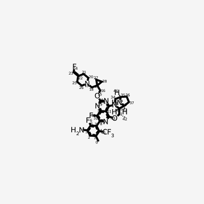 Cc1cc(N)c(F)c(-c2nc3c4c(nc(OCC5(CN6CCC(=CF)CC6)CC5)nc4c2F)N2C[C@H]4CC[C@H](N4)[C@H]2[C@H](C)O3)c1C(F)(F)F